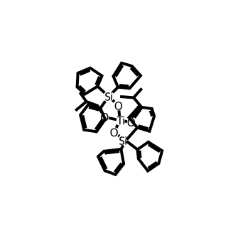 CC(C)C[O][Ti]([O]CC(C)C)([O][Si](c1ccccc1)(c1ccccc1)c1ccccc1)[O][Si](c1ccccc1)(c1ccccc1)c1ccccc1